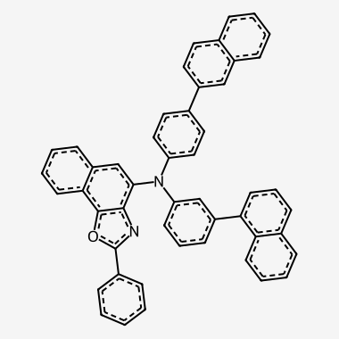 c1ccc(-c2nc3c(N(c4ccc(-c5ccc6ccccc6c5)cc4)c4cccc(-c5cccc6ccccc56)c4)cc4ccccc4c3o2)cc1